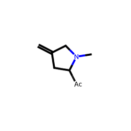 C=C1CC(C(C)=O)N(C)C1